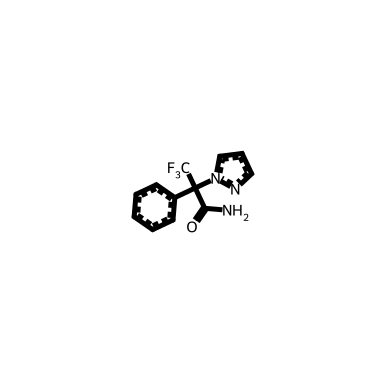 NC(=O)C(c1ccccc1)(n1cccn1)C(F)(F)F